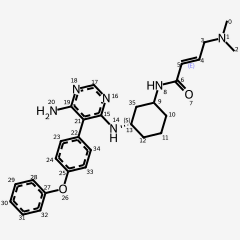 CN(C)C/C=C/C(=O)NC1CCC[C@H](Nc2ncnc(N)c2-c2ccc(Oc3ccccc3)cc2)C1